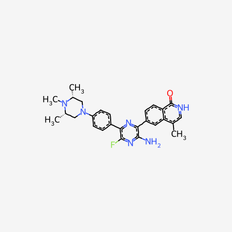 Cc1c[nH]c(=O)c2ccc(-c3nc(-c4ccc(N5C[C@@H](C)N(C)[C@@H](C)C5)cc4)c(F)nc3N)cc12